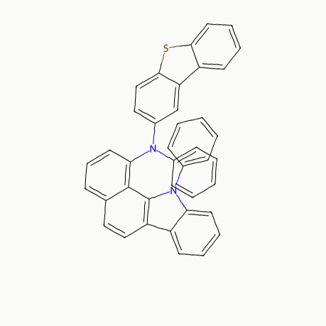 c1ccc(N(c2ccc3sc4ccccc4c3c2)c2cccc3ccc4c5ccccc5n(-c5ccccc5)c4c23)cc1